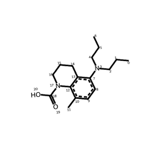 CCCN(CCC)c1ccc(C)c2c1CCCN2C(=O)O